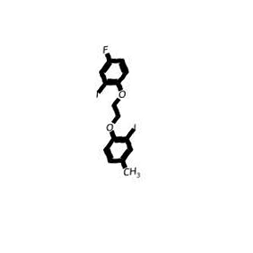 Cc1ccc(OCCOc2ccc(F)cc2I)c(I)c1